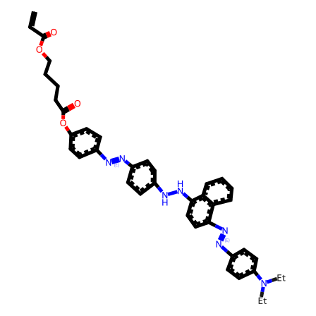 C=CC(=O)OCCCCC(=O)Oc1ccc(/N=N/c2ccc(NNc3ccc(/N=N/c4ccc(N(CC)CC)cc4)c4ccccc34)cc2)cc1